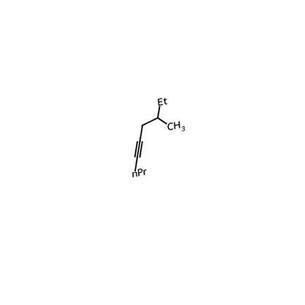 [CH2]CCC#CCC(C)CC